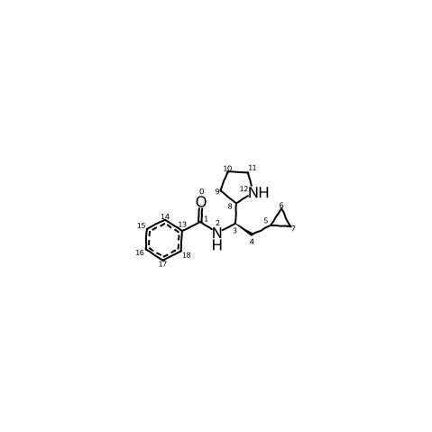 O=C(N[C@H](CC1CC1)C1CCCN1)c1ccccc1